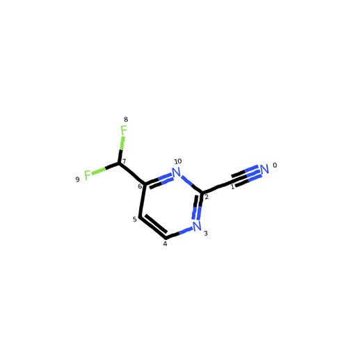 N#Cc1nccc(C(F)F)n1